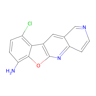 Nc1ccc(Cl)c2c1oc1nc3ccncc3cc12